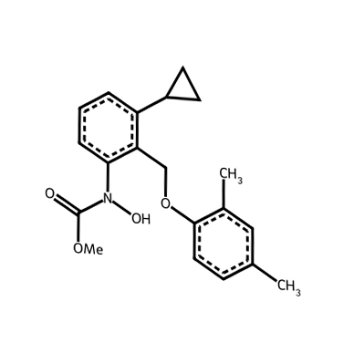 COC(=O)N(O)c1cccc(C2CC2)c1COc1ccc(C)cc1C